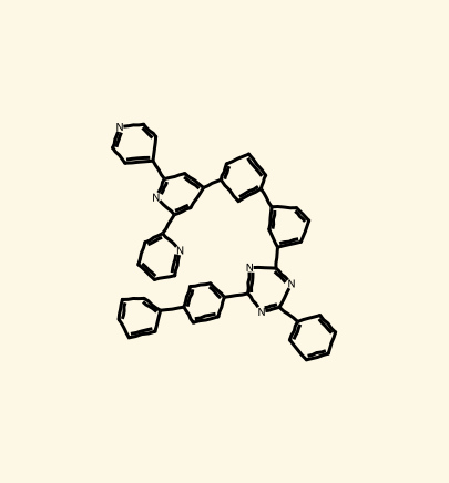 c1ccc(-c2ccc(-c3nc(-c4ccccc4)nc(-c4cccc(-c5cccc(-c6cc(-c7ccncc7)nc(-c7ccccn7)c6)c5)c4)n3)cc2)cc1